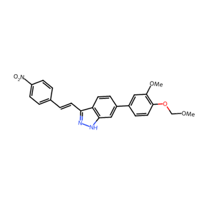 COCOc1ccc(-c2ccc3c(C=Cc4ccc([N+](=O)[O-])cc4)n[nH]c3c2)cc1OC